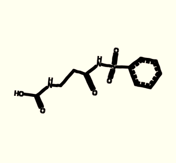 O=C(O)NCCC(=O)NS(=O)(=O)c1ccccc1